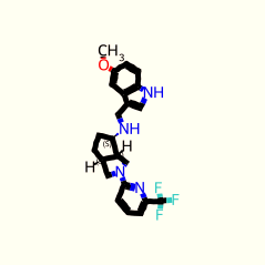 COc1ccc2[nH]cc(CN[C@H]3CC[C@@H]4CN(c5cccc(C(F)(F)F)n5)C[C@@H]43)c2c1